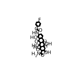 C[C@H]1c2ccc(NC(=O)Oc3ccc(F)cc3)c(O)c2C(=O)C2=C(O)[C@]3(O)C(=O)C(C(N)=O)=C(O)C[C@@H]3[C@@H](O)[C@@H]21